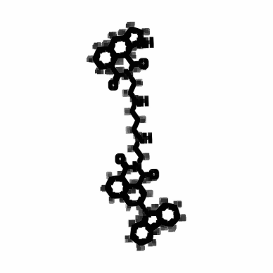 O=C1c2cccc3cc(-n4c5ccccc5c5ccccc54)cc(c23)C(=O)N1CCNCCCNCCN1C(=O)c2cccc3cc4cc[nH]c4c(c23)C1=O